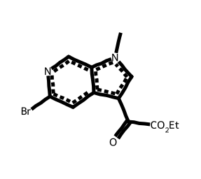 CCOC(=O)C(=O)c1cn(C)c2cnc(Br)cc12